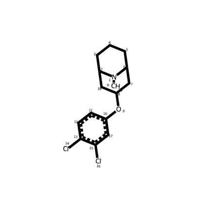 CN1C2CCCC1CC(Oc1ccc(Cl)c(Cl)c1)C2